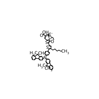 [C-]#[N+]/C(=C\c1sc(-c2cc(CCCCCC)c(-c3ccc(N(c4ccc5c(c4)C(C)(C)c4ccccc4-5)c4ccc5c(c4)C(C)(C)c4ccccc4-5)cc3)s2)c2c1OCCO2)C(=O)O